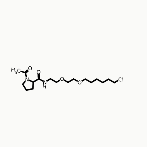 CC(=O)N1CCCC1C(=O)NCCOCCOCCCCCCCl